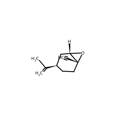 C#C[C@@]12CC[C@@H](C(=C)C)C[C@@H]1O2